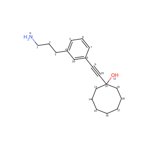 NCCCc1cccc(C#CC2(O)CCCCCCC2)c1